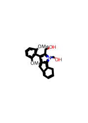 COc1cccc(OC)c1-c1c(CO)n(CO)c2c1=CC1=CC=CCC=21